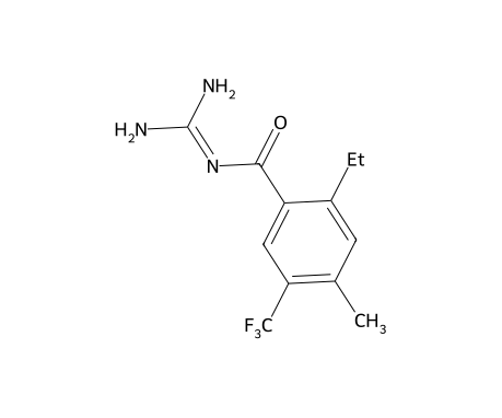 CCc1cc(C)c(C(F)(F)F)cc1C(=O)N=C(N)N